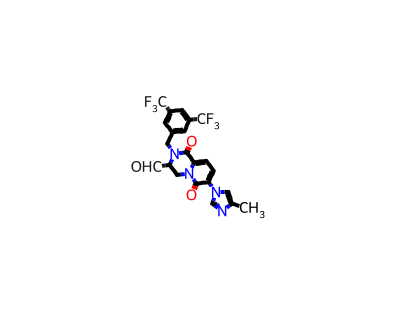 Cc1cn(-c2ccc3n(c2=O)CC(C=O)N(Cc2cc(C(F)(F)F)cc(C(F)(F)F)c2)C3=O)cn1